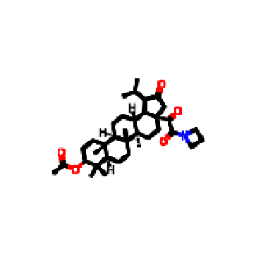 CC(=O)O[C@H]1CC[C@@]2(C)[C@@H](CCC3(C)[C@@H]2CC[C@@H]2C4C(C(C)C)C(=O)C[C@]4(C(=O)C(=O)N4CCC4)CC[C@]23C)C1(C)C